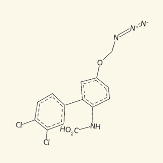 [N-]=[N+]=NCOc1ccc(NC(=O)O)c(-c2ccc(Cl)c(Cl)c2)c1